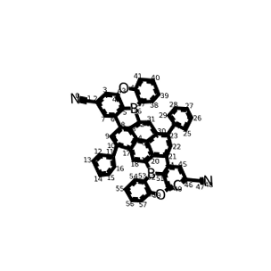 N#Cc1cc2c3c(c1)-c1cc(-c4ccccc4)c4cc5c6c(cc(-c7ccccc7)c7cc(c1c4c76)B3c1ccccc1O2)-c1cc(C#N)cc2c1B5c1ccccc1O2